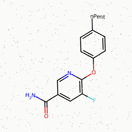 CCCCCc1ccc(Oc2ncc(C(N)=O)cc2F)cc1